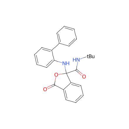 CC(C)(C)NC(=O)C1(Nc2ccccc2-c2ccccc2)OC(=O)c2ccccc21